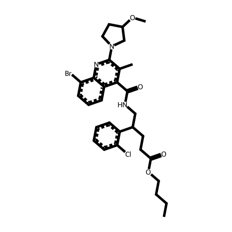 CCCCOC(=O)CCC(CNC(=O)c1c(C)c(N2CCC(OC)C2)nc2c(Br)cccc12)c1ccccc1Cl